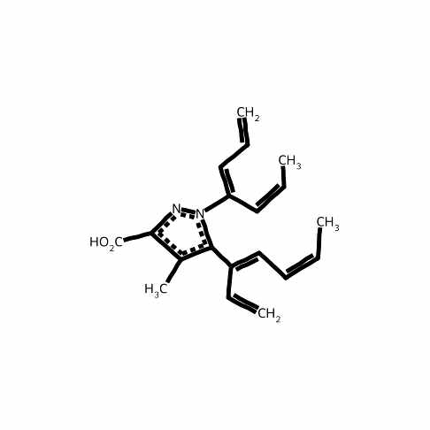 C=C/C=C(\C=C/C)n1nc(C(=O)O)c(C)c1/C(C=C)=C/C=C\C